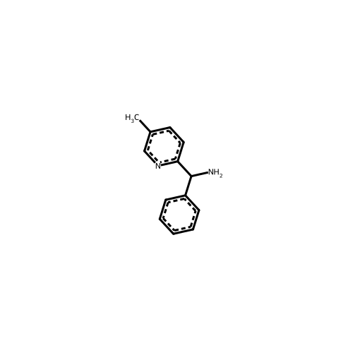 Cc1ccc(C(N)c2ccccc2)nc1